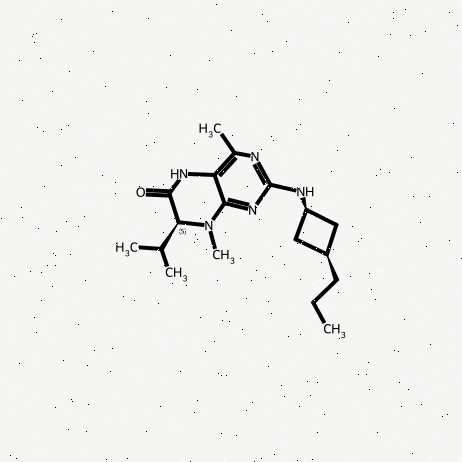 CCC[C@H]1C[C@@H](Nc2nc(C)c3c(n2)N(C)[C@@H](C(C)C)C(=O)N3)C1